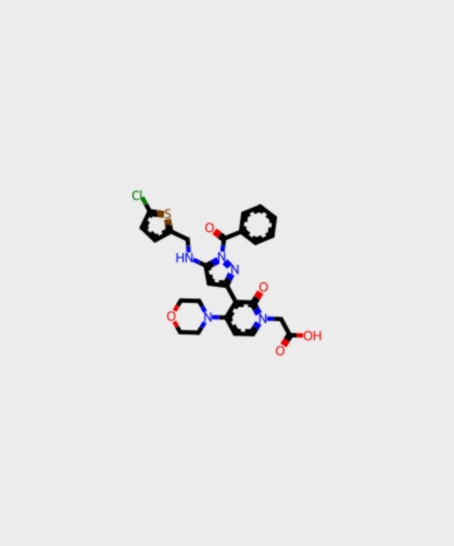 O=C(O)Cn1ccc(N2CCOCC2)c(-c2cc(NCc3ccc(Cl)s3)n(C(=O)c3ccccc3)n2)c1=O